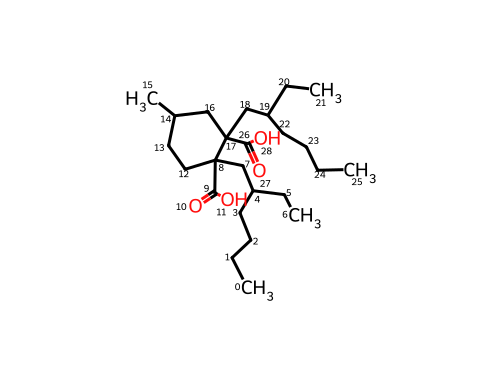 CCCCC(CC)CC1(C(=O)O)CCC(C)CC1(CC(CC)CCCC)C(=O)O